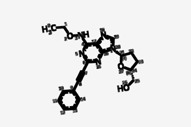 CCONc1nc(C#Cc2ccccc2)nc2c1ncn2[C@H]1CC[C@H](CO)O1